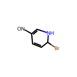 O=NC1=CNC(Br)C=C1